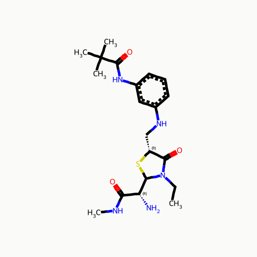 CCN1C(=O)[C@@H](CNc2cccc(NC(=O)C(C)(C)C)c2)SC1[C@H](N)C(=O)NC